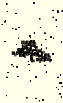 CC(C)(C)c1ccc(-c2c[c]c(C(C)(C)C)c(-c3ccc(C(C)(C)C)cc3)c2C(C)(C)C)cc1